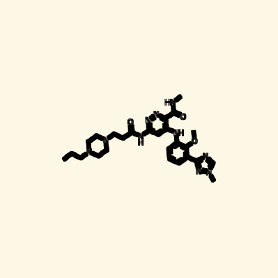 CCCN1CCN(CCC(=O)Nc2cc(Nc3cccc(-c4ncn(C)n4)c3OC)c(C(=O)NC)nn2)CC1